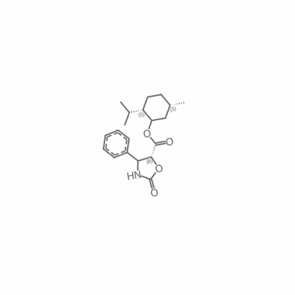 CC(C)[C@@H]1CC[C@H](C)CC1OC(=O)[C@@H]1OC(=O)NC1c1ccccc1